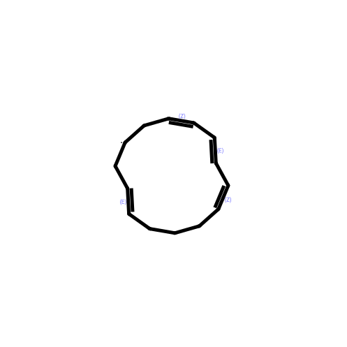 [CH]1C\C=C/C=C/C=C\CCC/C=C/C1